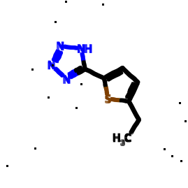 CCc1ccc(-c2nnn[nH]2)s1